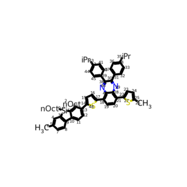 CCCCCCCC[Si]1(CCCCCCCC)c2cc(C)ccc2-c2ccc(-c3ccc(-c4ccc(-c5ccc(C)s5)c5nc(-c6ccc(C(C)C)cc6)c(-c6ccc(C(C)C)cc6)nc45)s3)cc21